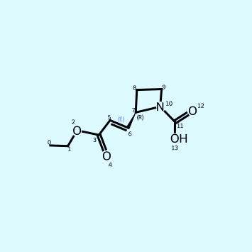 CCOC(=O)/C=C/[C@H]1CCN1C(=O)O